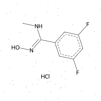 CNC(=NO)c1cc(F)cc(F)c1.Cl